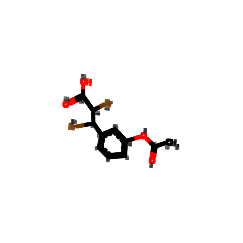 CC(=O)Oc1cccc(C(Br)C(Br)C(=O)O)c1